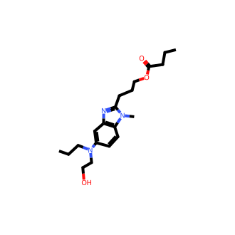 CCCC(=O)OCCCc1nc2cc(N(CCC)CCO)ccc2n1C